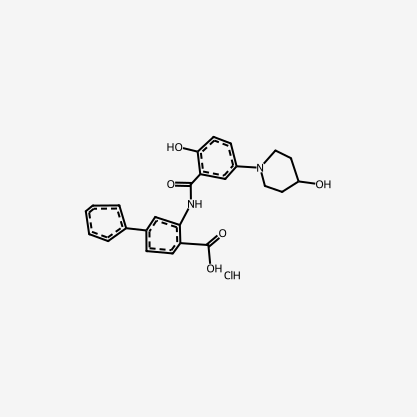 Cl.O=C(Nc1cc(-c2ccccc2)ccc1C(=O)O)c1cc(N2CCC(O)CC2)ccc1O